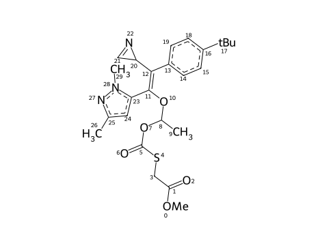 COC(=O)CSC(=O)OC(C)O/C(=C(\c1ccc(C(C)(C)C)cc1)C1C=N1)c1cc(C)nn1C